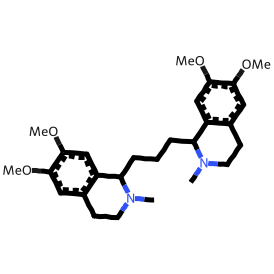 COc1cc2c(cc1OC)C(CCCC1c3cc(OC)c(OC)cc3CCN1C)N(C)CC2